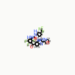 O=C(Nc1cccc(C(F)(F)F)c1)Nc1cc(F)c(F)c(C(=O)c2ccc3nc(C4COCCN4)cnc3c2)c1F